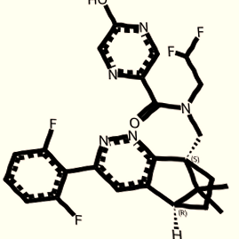 CC1(C)[C@H]2CC[C@]1(CN(CC(F)F)C(=O)c1cnc(O)cn1)c1nnc(-c3c(F)cccc3F)cc12